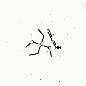 CC[Si](CC)(OC)OC.N=C=O